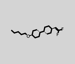 CCCCCO[C@H]1CC[C@H]([C@H]2CC[C@H](C=C(F)F)CC2)CC1